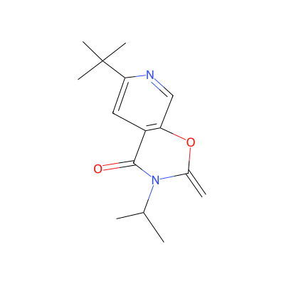 C=C1Oc2cnc(C(C)(C)C)cc2C(=O)N1C(C)C